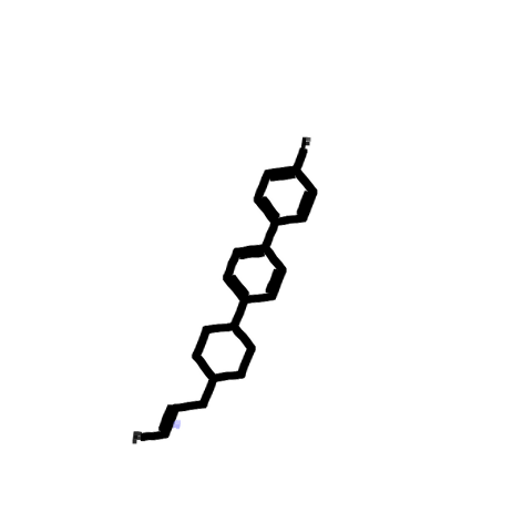 F/C=C/CC1CCC(c2ccc(-c3ccc(F)cc3)cc2)CC1